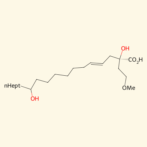 CCCCCCCC(O)CCCCCC/C=C/C[C@@](O)(CCOC)C(=O)O